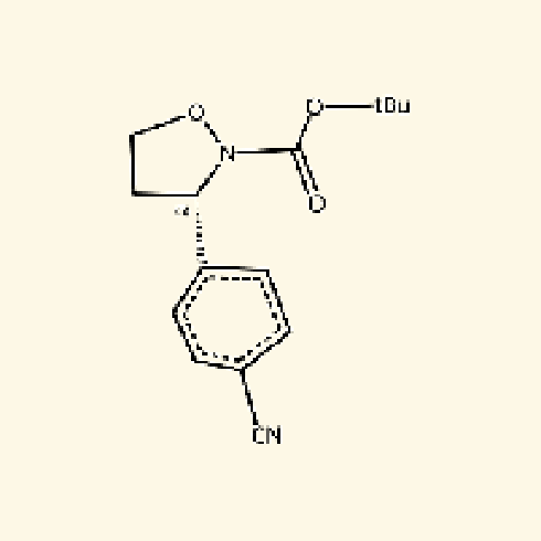 CC(C)(C)OC(=O)N1OCC[C@H]1c1ccc(C#N)cc1